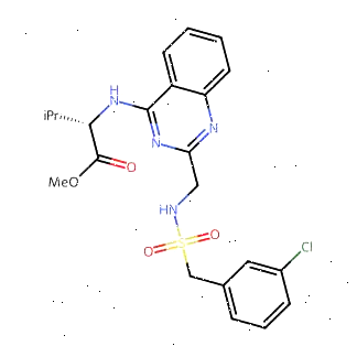 COC(=O)[C@@H](Nc1nc(CNS(=O)(=O)Cc2cccc(Cl)c2)nc2ccccc12)C(C)C